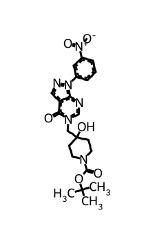 CC(C)(C)OC(=O)N1CCC(O)(Cn2cnc3c(cnn3-c3cccc([N+](=O)[O-])c3)c2=O)CC1